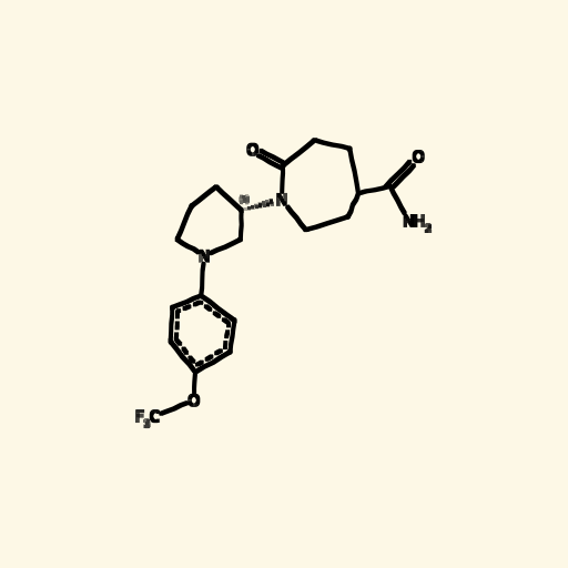 NC(=O)C1CCC(=O)N([C@H]2CCCN(c3ccc(OC(F)(F)F)cc3)C2)CC1